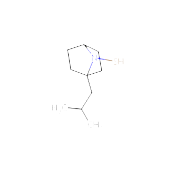 CC(C)CC12CCC(CC1)N2S